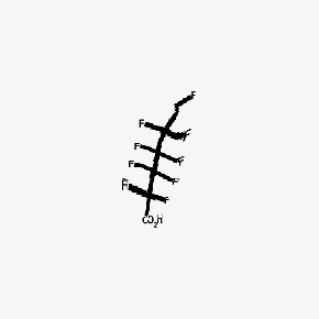 O=C(O)C(F)(F)C(F)(F)C(F)(F)C(F)(F)CF